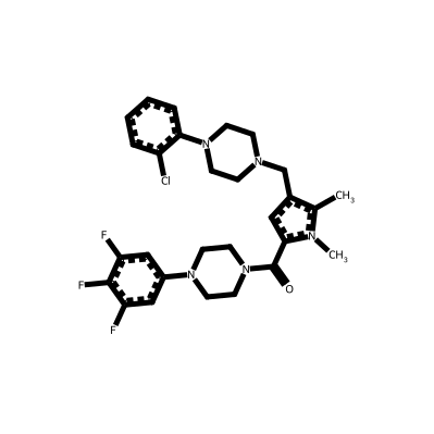 Cc1c(CN2CCN(c3ccccc3Cl)CC2)cc(C(=O)N2CCN(c3cc(F)c(F)c(F)c3)CC2)n1C